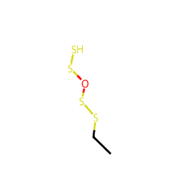 CCSSOSS